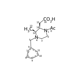 CC(=O)N1CCN(Cc2ccccc2)[C@@H](C)[C@H]1CC(=O)O